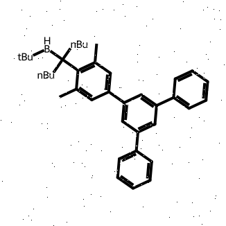 CCCCC(BC(C)(C)C)(CCCC)c1c(C)cc(-c2cc(-c3ccccc3)cc(-c3ccccc3)c2)cc1C